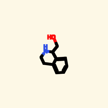 OCC1NCCc2ccccc21